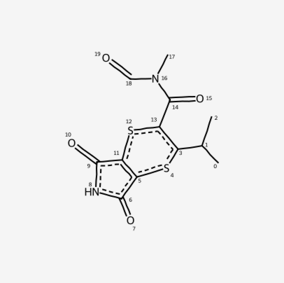 CC(C)c1sc2c(=O)[nH]c(=O)c=2sc1C(=O)N(C)C=O